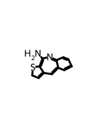 NC1=C2SCC=C2C=c2ccccc2=N1